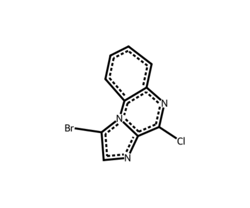 Clc1nc2ccccc2n2c(Br)cnc12